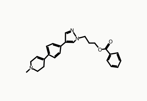 CN1CC=C(c2ccc(-c3cnn(CCCOC(=O)c4ccccc4)c3)cc2)CC1